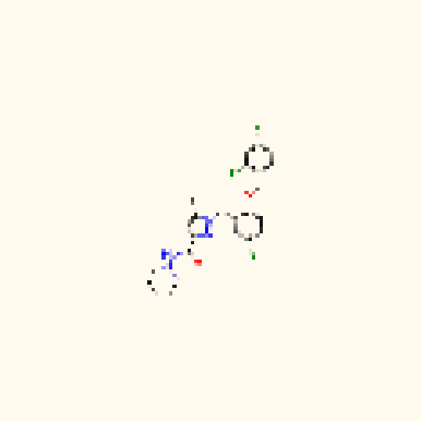 Cc1cc(C(=O)NN2CCCCC2)nn1Cc1cc(Br)ccc1OCc1ccc(F)cc1F